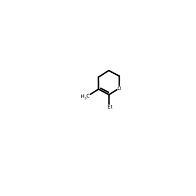 CCC1=C(C)CCCO1